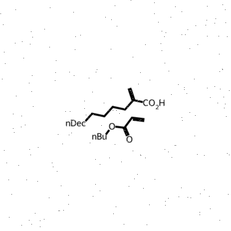 C=C(CCCCCCCCCCCCCC)C(=O)O.C=CC(=O)OCCCC